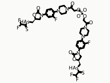 O=C(COS(=O)(=O)OCC(=O)N1CCN(c2ccc(N3C[C@@H](C[AsH]C(=S)C(F)F)OC3=O)cc2F)CC1)N1CCN(c2ccc(N3C[C@@H](C[AsH]C(=S)C(F)F)OC3=O)cc2F)CC1